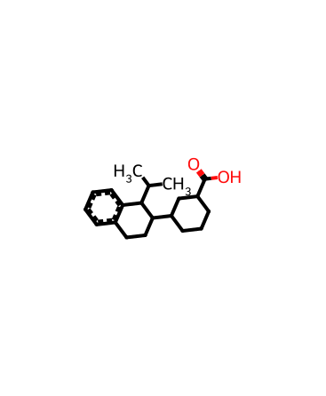 CC(C)C1c2ccccc2CCC1C1CCCC(C(=O)O)C1